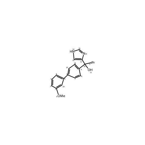 COc1cccc(-c2ccc(C(O)(c3c[nH]cn3)C(C)C)cc2)c1